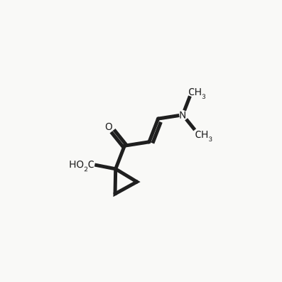 CN(C)C=CC(=O)C1(C(=O)O)CC1